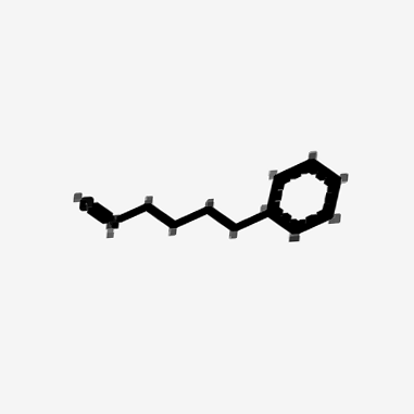 O=NCCCCc1ccccc1